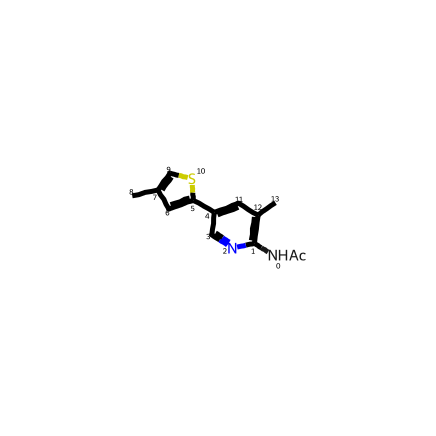 CC(=O)Nc1ncc(-c2cc(C)cs2)cc1C